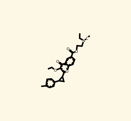 CCOc1c(C2CC2c2ccc(C)cc2)oc2ccc(C(=O)OCCN(CC)CC)cc2c1=O